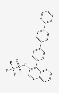 O=S(=O)(Oc1ccc2ccccc2c1-c1ccc(-c2ccc(-c3ccccc3)cc2)cc1)C(F)(F)F